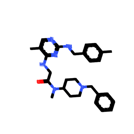 Cc1ccc(CNc2ncc(C)c(NCC(=O)N(C)C3CCN(Cc4ccccc4)CC3)n2)cc1